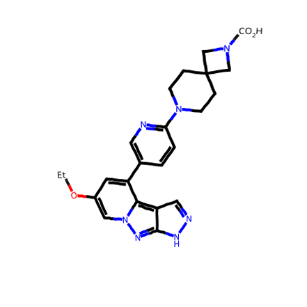 CCOc1cc(-c2ccc(N3CCC4(CC3)CN(C(=O)O)C4)nc2)c2c3cn[nH]c3nn2c1